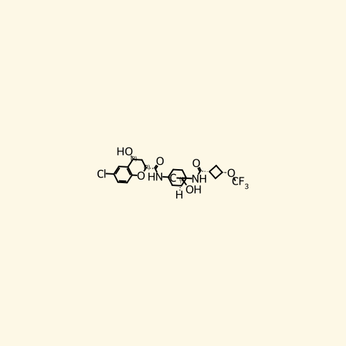 O=C(NC12CCC(NC(=O)[C@H]3C[C@@H](OC(F)(F)F)C3)(CC1)[C@@H](O)C2)[C@H]1C[C@@H](O)c2cc(Cl)ccc2O1